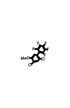 COc1cc(-c2c(F)c(F)c(F)c(F)c2F)c(Cl)cc1Cl